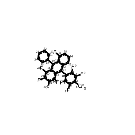 Fc1c(F)c(C(F)(F)F)c(F)c(F)c1-c1c2cccc(F)c2c(-c2ccccc2)c2c(F)c(F)c(F)c(F)c12